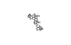 O=C(C=Cc1cccc(C(F)(F)F)c1F)Nc1ccc(C(C(=O)O)c2ccc3ocnc3c2)cc1F